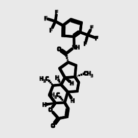 C[C@H]1C[C@H]2OC(=O)C=C[C@]2(C)[C@H]2CC[C@]3(C)C[C@@H](C(=O)Nc4cc(C(F)(F)F)ccc4C(F)(F)F)C[C@H]3[C@H]12